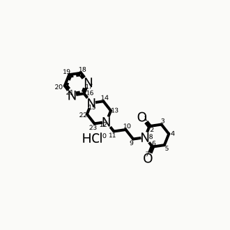 Cl.O=C1CCCC(=O)N1CCCN1CCN(c2ncccn2)CC1